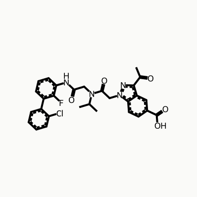 CC(=O)c1nn(CC(=O)N(CC(=O)Nc2cccc(-c3ccccc3Cl)c2F)C(C)C)c2ccc(C(=O)O)cc12